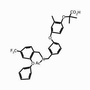 CC(=O)N(Cc1cccc(Oc2ccc(OC(C)(C)C(=O)O)c(C)c2)c1)Cc1ccc(C(F)(F)F)cc1Oc1ccccc1